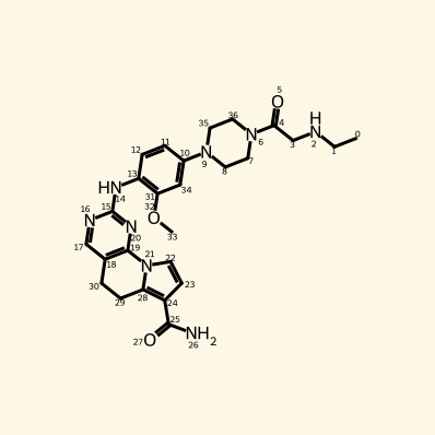 CCNCC(=O)N1CCN(c2ccc(Nc3ncc4c(n3)-n3ccc(C(N)=O)c3CC4)c(OC)c2)CC1